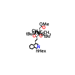 CCCCCCc1ncc(/C=C/C(O[Si](C)(C)C(C)(C)C)C(CCCC(=O)OC)O[Si](C)(C)C(C)(C)C)c2ccccc12